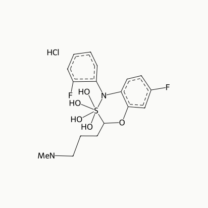 CNCCCC1Oc2cc(F)ccc2N(c2ccccc2F)S1(O)(O)(O)O.Cl